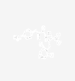 Cc1ccc(CNC(=O)c2nc([N+](=O)[O-])c(Sc3c(Cl)cncc3Cl)s2)cc1